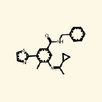 C/C(=N/c1cc(C(=O)NCc2ccccc2)cc(-c2nccs2)c1C)C1CC1